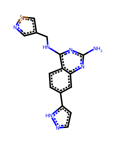 Nc1nc(NCc2cnsc2)c2ccc(-c3ccn[nH]3)cc2n1